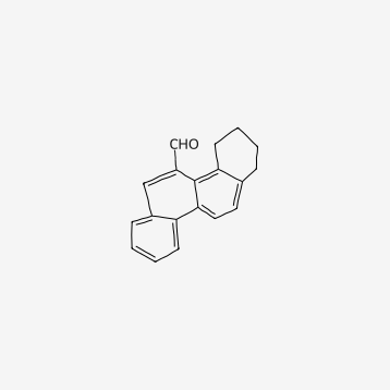 O=Cc1cc2ccccc2c2ccc3c(c12)CCCC3